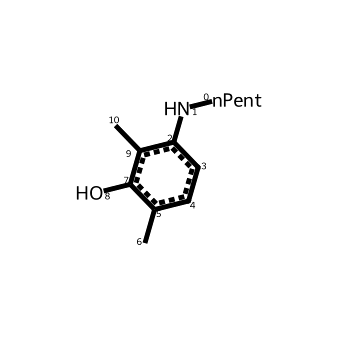 CCCCCNc1ccc(C)c(O)c1C